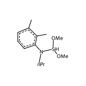 CCCN(c1cccc(C)c1C)[SiH](OC)OC